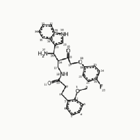 COc1ccccc1CCC(=O)NCC(C(=O)COc1ccc(F)cc1)C(N)c1c[nH]c2ccccc12